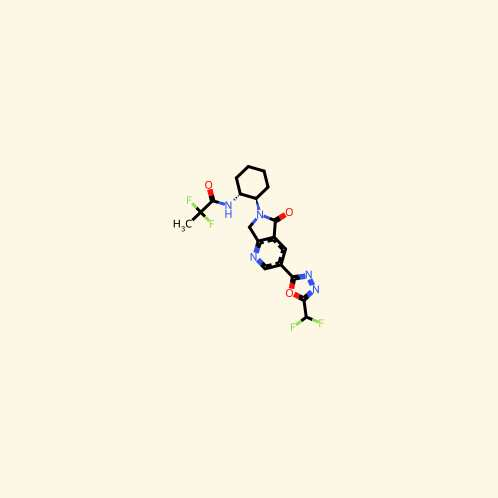 CC(F)(F)C(=O)N[C@@H]1CCCC[C@H]1N1Cc2ncc(-c3nnc(C(F)F)o3)cc2C1=O